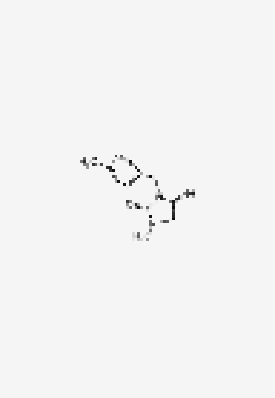 Cc1ccc(CN2C(=N)CN(C)C2=O)cc1